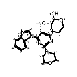 C[C@@H]1[C@@H](C)OCCN1c1cc(-n2cnc3ccccc32)nc(N2CCOCC2)n1